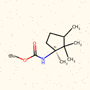 CC1CC[C@](C)(NC(=O)OC(C)(C)C)C1(C)C